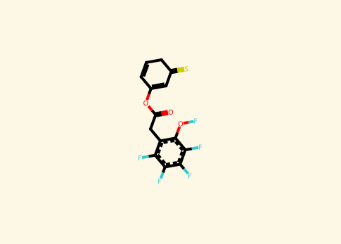 O=C(Cc1c(F)c(F)c(F)c(F)c1OF)OC1=CC(=S)CC=C1